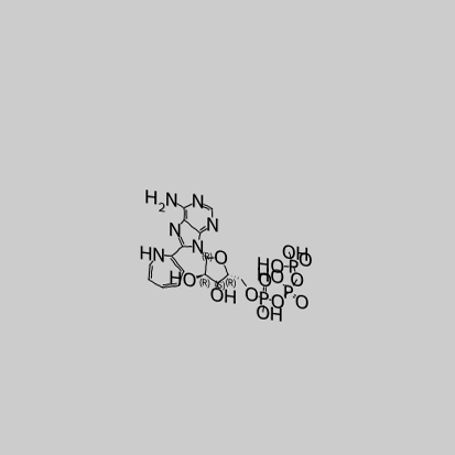 Nc1ncnc2c1nc(C1=CC=CC=CN1)n2[C@@H]1O[C@H](COP(=O)(O)OP(=O)(O)OP(=O)(O)O)[C@@H](O)[C@H]1O